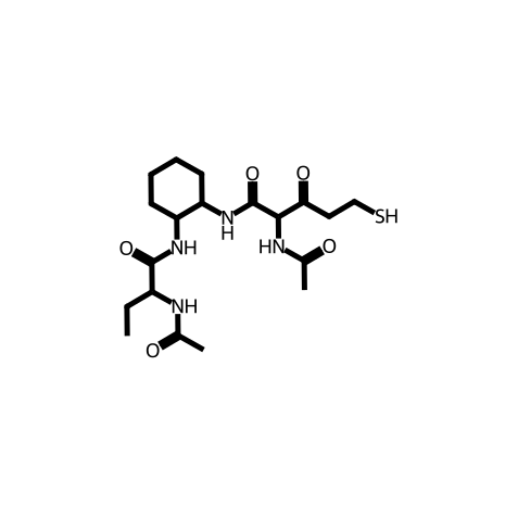 CCC(NC(C)=O)C(=O)NC1CCCCC1NC(=O)C(NC(C)=O)C(=O)CCS